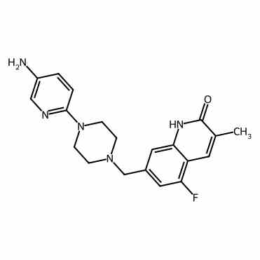 Cc1cc2c(F)cc(CN3CCN(c4ccc(N)cn4)CC3)cc2[nH]c1=O